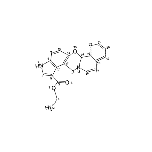 CCOC(=O)c1c[nH]c2ccc3c(c12)CN1C=CC2=CC=CCC2C1O3